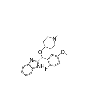 COc1ccc(F)c(C(OC2CCN(C)CC2)c2nc3ccccc3[nH]2)c1